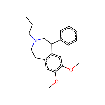 CCCN1CCc2cc(OC)c(OC)cc2C(c2ccccc2)C1